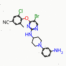 Cc1cc(C#N)cc(Cl)c1Oc1nc(NC2CCN(c3cccc(N)c3)CC2)ncc1Br